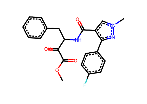 COC(=O)C(=O)C(Cc1ccccc1)NC(=O)c1cn(C)nc1-c1ccc(F)cc1